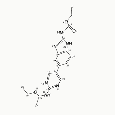 CCOC(=O)Nc1nc2cc(-c3cnc(NC(C)OCC)nc3)ccc2[nH]1